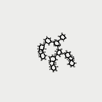 c1ccc(-c2nc(-c3cccc(-c4ccc5sc6ccccc6c5c4)c3)nc(-c3cc(-c4ccc5sc6ccccc6c5c4)cc(-c4ccc5sc6ccccc6c5c4)c3)n2)cc1